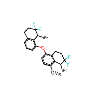 COc1ccc(Oc2cccc3c2C(C(C)C)C(F)(F)CC3)c2c1C(C(C)C)C(F)(F)CC2